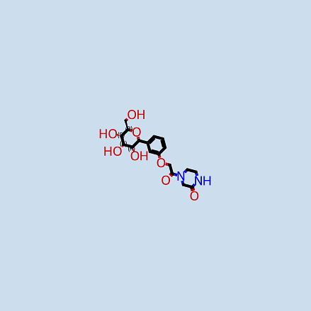 O=C1CN(C(=O)COc2cccc(C3O[C@H](CO)[C@@H](O)[C@H](O)[C@H]3O)c2)CCN1